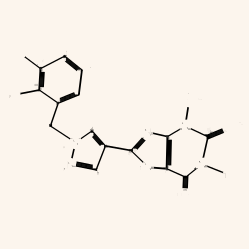 CCCn1c(=O)c2[nH]c(-c3cnn(Cc4cccc(F)c4F)c3)nc2n(CCC)c1=O